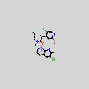 CCCN(C[C@H]1CCc2cc(Cl)c(C)nc2N1)C(=O)[C@H](C)c1cc(OC)ncc1F